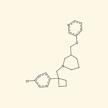 Clc1ccc(C2(CN3CCCC(COc4cccnc4)C3)CCC2)cc1